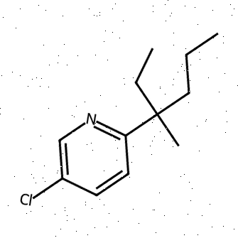 CCCC(C)(CC)c1ccc(Cl)cn1